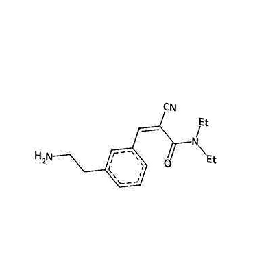 CCN(CC)C(=O)C(C#N)=Cc1cccc(CCN)c1